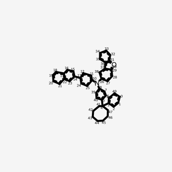 c1ccc(C2(c3ccc(N(c4ccc(-c5ccc6ccccc6c5)cc4)c4ccc5oc6ccccc6c5c4)cc3)CCCCCCC2)cc1